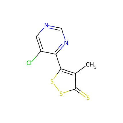 Cc1c(-c2ncncc2Cl)ssc1=S